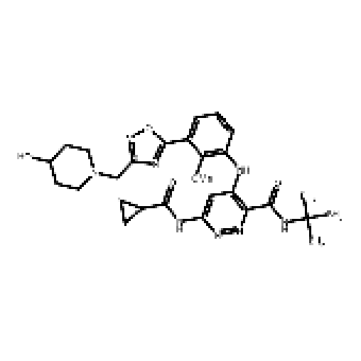 BC(B)(B)NC(=O)c1nnc(NC(=O)C2CC2)cc1Nc1cccc(-c2nc(CN3CCC(O)CC3)no2)c1OC